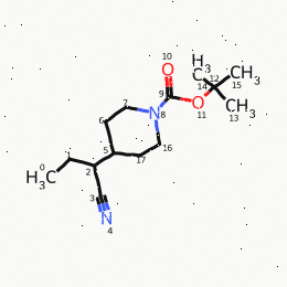 CCC(C#N)C1CCN(C(=O)OC(C)(C)C)CC1